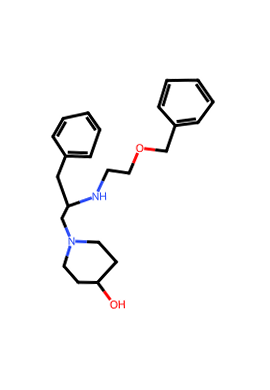 OC1CCN(CC(Cc2ccccc2)NCCOCc2ccccc2)CC1